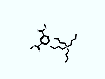 CCCC[PH](CCCC)(CCCC)CCCC.COC(=O)c1cccc(C(=O)OC)c1